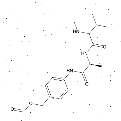 CNC(C(=O)N[C@@H](C)C(=O)Nc1ccc(COC=O)cc1)C(C)C